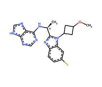 COC1CC(n2c([C@H](C)Nc3ncnc4[nH]cnc34)nc3ccc(F)cc32)C1